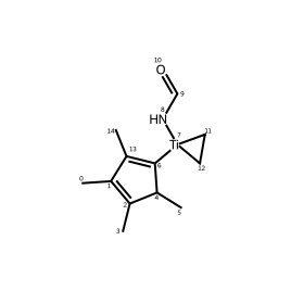 CC1=C(C)C(C)[C]([Ti]2([NH]C=O)[CH2][CH2]2)=C1C